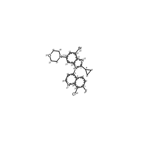 Fc1ccc2c(-n3c(C4CC4)nc4c(Br)cc(N5CCOCC5)cc43)ccnc2c1Cl